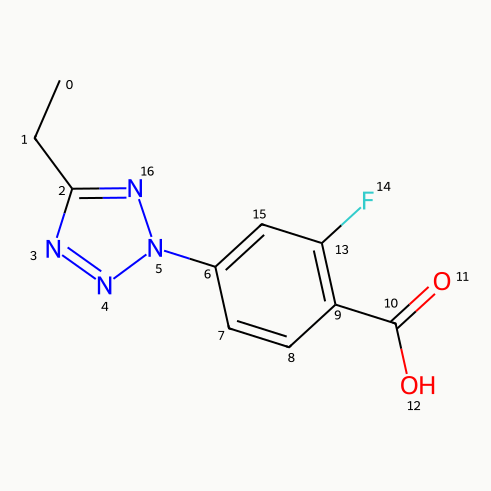 CCc1nnn(-c2ccc(C(=O)O)c(F)c2)n1